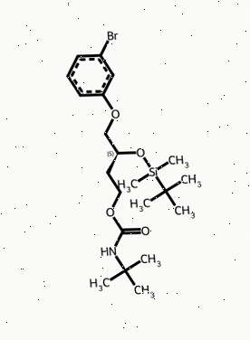 CC(C)(C)NC(=O)OCC[C@@H](COc1cccc(Br)c1)O[Si](C)(C)C(C)(C)C